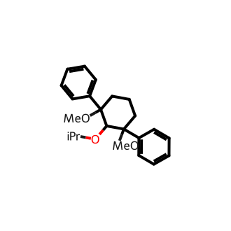 COC1(c2ccccc2)CCCC(OC)(c2ccccc2)C1OC(C)C